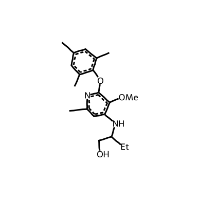 CCC(CO)Nc1cc(C)nc(Oc2c(C)cc(C)cc2C)c1OC